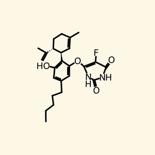 C=C(C)[C@@H]1CCC(C)=C[C@H]1c1c(O)cc(CCCCC)cc1Oc1[nH]c(=O)[nH]c(=O)c1F